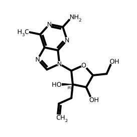 C=CC[C@@]1(O)C(O)C(CO)OC1n1cnc2c(C)nc(N)nc21